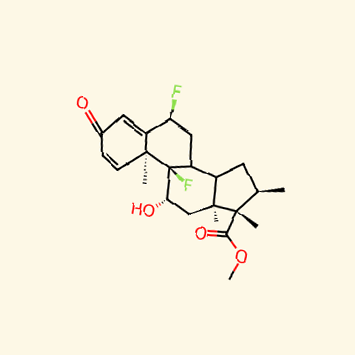 COC(=O)[C@@]1(C)[C@H](C)CC2C3C[C@H](F)C4=CC(=O)C=C[C@]4(C)[C@@]3(F)[C@@H](O)C[C@@]21C